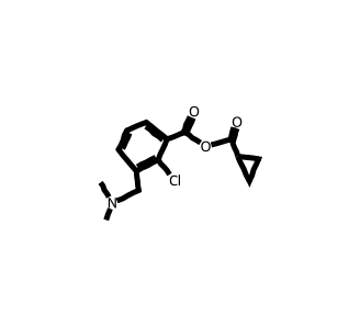 CN(C)Cc1cccc(C(=O)OC(=O)C2CC2)c1Cl